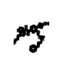 CCC(CC)(NC(=O)c1ccc(N2CC(O)C2)c(OC[C@@H]2C[C@H]2COCc2ccccc2)n1)C(=O)OCCCF